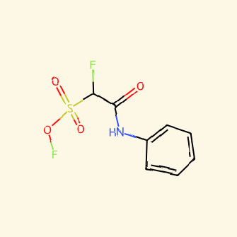 O=C(Nc1ccccc1)C(F)S(=O)(=O)OF